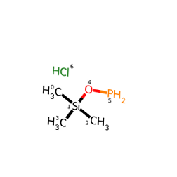 C[Si](C)(C)OP.Cl